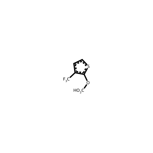 O=C(O)Oc1sccc1C(F)(F)F